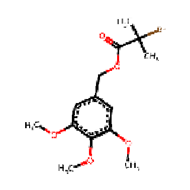 COc1cc(COC(=O)C(C)(C)Br)cc(OC)c1OC